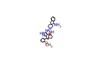 COc1ccccc1C1(c2n[nH]c3nc(N4CCC5(CC4)Cc4ccccc4[C@H]5N)[nH]c(=O)c23)CC12CCCC2